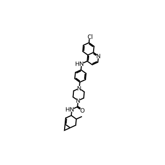 CC1CC2CC2=CC1NC(=O)N1CCN(c2ccc(Nc3ccnc4cc(Cl)ccc34)cc2)CC1